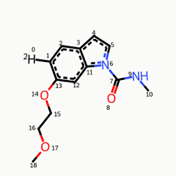 [2H]c1cc2ccn(C(=O)NC)c2cc1OCCOC